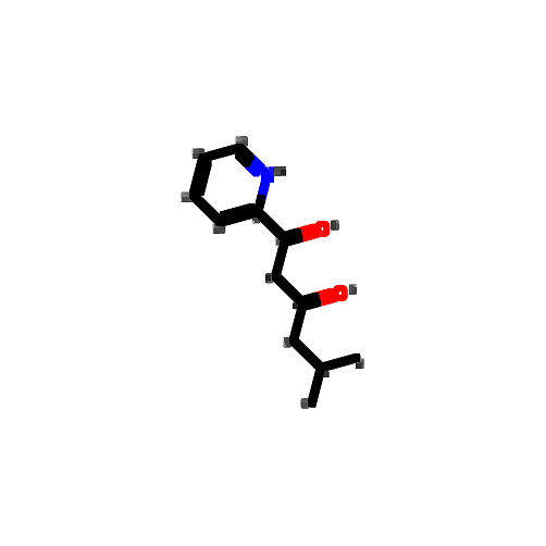 CC(C)CC(=O)CC(=O)c1ccccn1